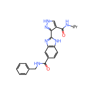 CC(C)NC(=O)c1c[nH]nc1-c1nc2cc(C(=O)NCc3ccccc3)ccc2[nH]1